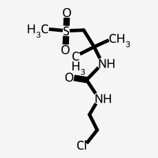 CC(C)(CS(C)(=O)=O)NC(=O)NCCCl